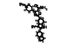 CC(C)c1c(-c2ccc3nccn3c2)[nH]c2ccc(C3=NN(C4CCN(C(C)C)CC4)C(C(N)=O)O3)cc12